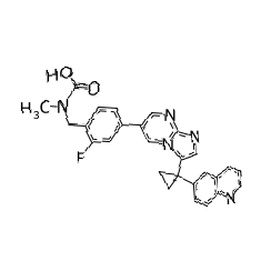 CN(Cc1ccc(-c2cnc3ncc(C4(c5ccc6ncccc6c5)CC4)n3c2)cc1F)C(=O)O